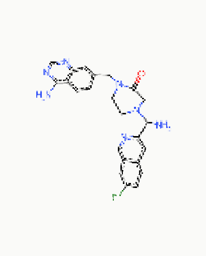 Nc1ncnc2cc(CN3CCN(C(N)c4cc5ccc(Cl)cc5cn4)CC3=O)ccc12